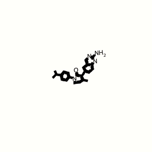 Cc1ccn(-c2ccc(C(C)C)cc2)c(=O)c1-c1ccc2nc(N)ncc2c1